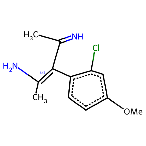 COc1ccc(/C(C(C)=N)=C(\C)N)c(Cl)c1